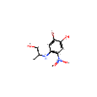 CC(CO)Nc1cc(Br)c(O)cc1[N+](=O)[O-]